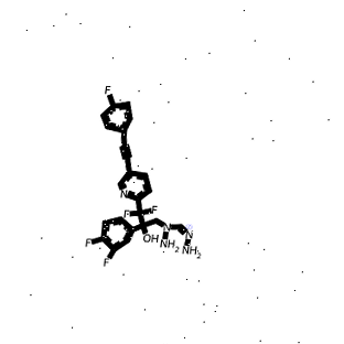 N/N=C\N(N)CC(O)(c1ccc(F)c(F)c1)C(F)(F)c1ccc(C#Cc2ccc(F)cc2)cn1